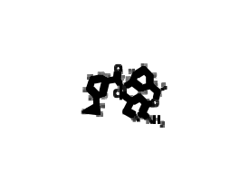 C[C@H](Oc1cc(Cl)cnc1N)c1cccc(NC(=O)c2cccc(C3CC3)c2)c1